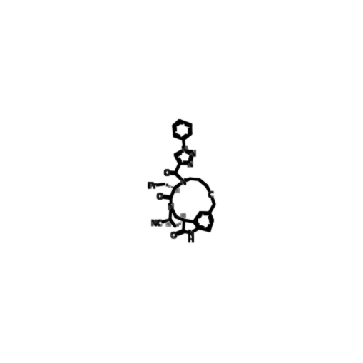 CC(C)C[C@H]1C(=O)N2C[C@]3(C[C@H]2C#N)C(=O)Nc2ccc(cc23)CCCCCN1C(=O)c1cn(-c2ccccc2)nn1